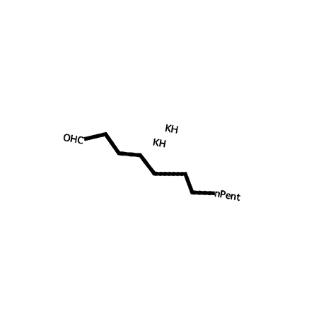 CCCCCCCCCCCC=O.[KH].[KH]